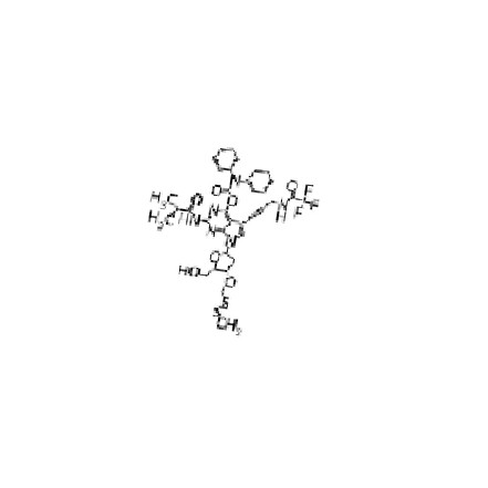 CSSCO[C@H]1C[C@H](n2cc(C#CCNC(=O)C(F)(F)F)c3c(OC(=O)N(c4ccccc4)c4ccccc4)nc(NC(=O)C(C)C)nc32)O[C@@H]1CO